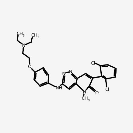 CCN(CC)CCOc1ccc(Nc2cc3c(cc(-c4c(Cl)cccc4Cl)c(=O)n3C)nn2)cc1